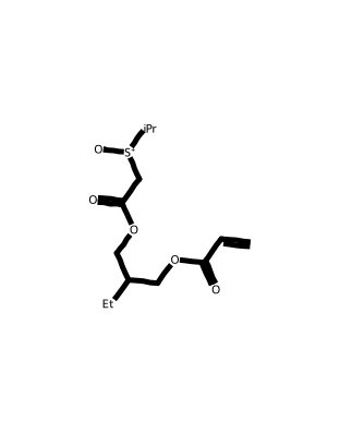 C=CC(=O)OCC(CC)COC(=O)C[S+]([O-])C(C)C